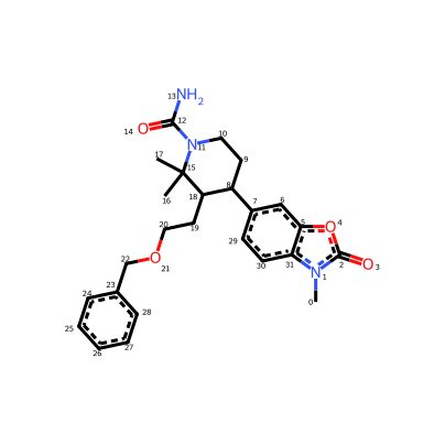 Cn1c(=O)oc2cc(C3CCN(C(N)=O)C(C)(C)C3CCOCc3ccccc3)ccc21